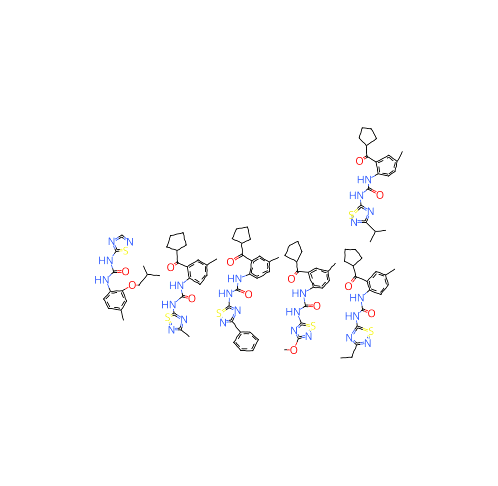 CCc1nsc(NC(=O)Nc2ccc(C)cc2C(=O)C2CCCC2)n1.COc1nsc(NC(=O)Nc2ccc(C)cc2C(=O)C2CCCC2)n1.Cc1ccc(NC(=O)Nc2nc(-c3ccccc3)ns2)c(C(=O)C2CCCC2)c1.Cc1ccc(NC(=O)Nc2nc(C(C)C)ns2)c(C(=O)C2CCCC2)c1.Cc1ccc(NC(=O)Nc2nc(C)ns2)c(C(=O)C2CCCC2)c1.Cc1ccc(NC(=O)Nc2ncns2)c(OCC(C)C)c1